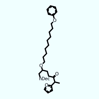 CCCCCCCCCCCC(CCC(=O)C(C)c1ccco1)OCCCCCCCCCCOc1ccccc1